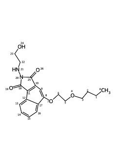 CCCCOCCOc1cc2c(c3ccccc13)C(=O)N(NCCO)C2=O